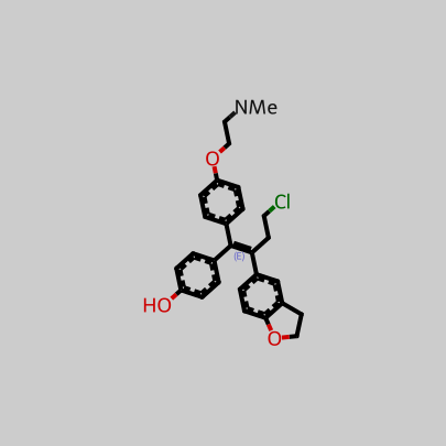 CNCCOc1ccc(/C(=C(\CCCl)c2ccc3c(c2)CCO3)c2ccc(O)cc2)cc1